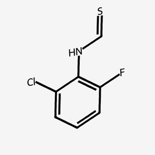 Fc1cccc(Cl)c1NC=S